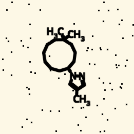 Cc1cnn(C2CCCCCCC(C)(C)CCC2)c1